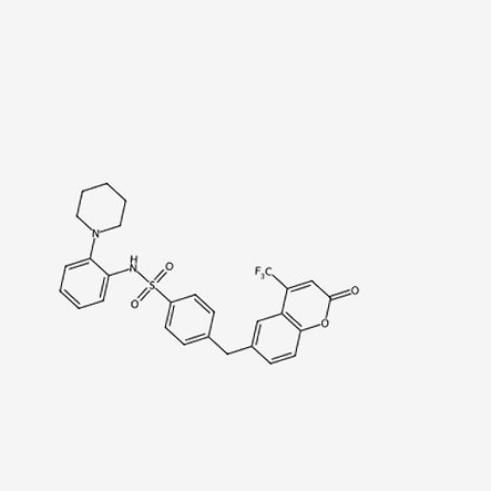 O=c1cc(C(F)(F)F)c2cc(Cc3ccc(S(=O)(=O)Nc4ccccc4N4CCCCC4)cc3)ccc2o1